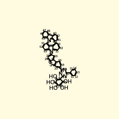 Oc1c(O)c(O)c(-c2nc(-c3ccccc3)nc(-c3ccc4c(c3)sc3ccc(-n5c6ccccc6c6c(-n7c8ccccc8c8ccccc87)cccc65)cc34)n2)c(O)c1O